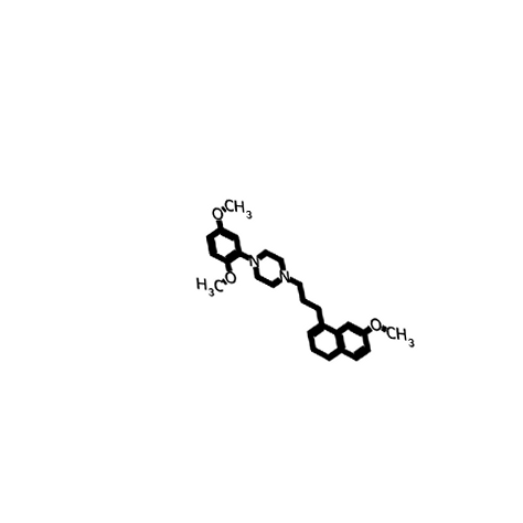 COc1ccc2c(c1)C(CCCN1CCN(c3cc(OC)ccc3OC)CC1)=CCC2